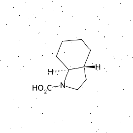 O=C(O)N1CC[C@H]2CCCC[C@@H]21